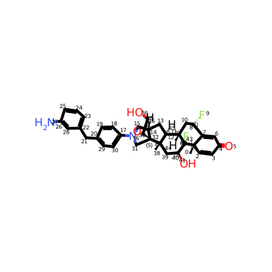 C[C@]12C=CC(=O)C=C1[C@@H](F)C[C@H]1[C@@H]3C[C@H]4CN(c5ccc(Cc6cccc(N)c6)cc5)C[C@@]4(C(=O)CO)[C@@]3(C)C[C@H](O)[C@@]12F